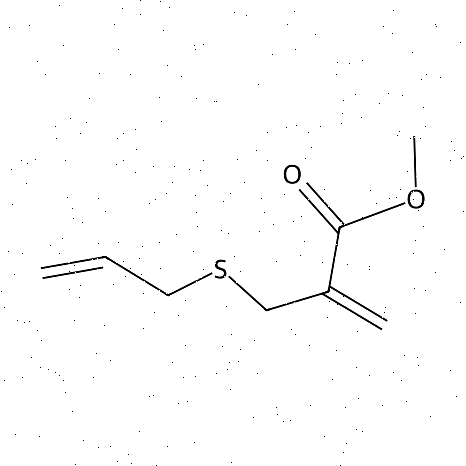 C=CCSCC(=C)C(=O)OC